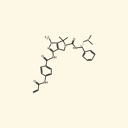 C=CC(=O)Nc1ccc(C(=O)Nc2nn(C(F)(F)F)c3c2CN(C(=O)N[C@H](CN(C)C)c2ccccc2)C3(C)C)cc1